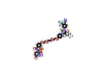 CC1(C)C(=O)N(c2ccc(C#N)c(C(F)(F)F)c2)C(=S)N1c1ccc(OCCOCCOCCOc2ccc3c(c2)S(=O)(=O)N(C2CCC(=O)NC2=O)C3=O)cc1